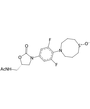 CC(=O)NC[C@H]1CN(c2cc(F)c(N3CCC[S+]([O-])CCC3)c(F)c2)C(=O)O1